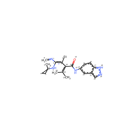 C=N/C(NC1(C)CC1)=C(\CC)C(C(=O)Nc1ccc2[nH]ncc2c1)=C(C)C